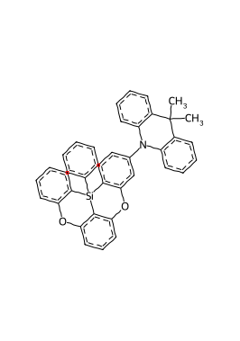 CC1(C)c2ccccc2N(c2ccc3c(c2)Oc2cccc4c2[Si]3(c2ccccc2)c2ccccc2O4)c2ccccc21